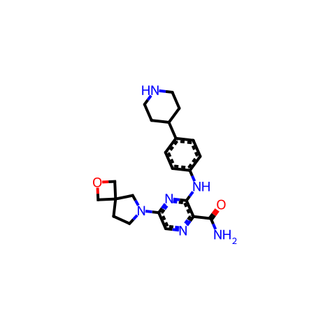 NC(=O)c1ncc(N2CCC3(COC3)C2)nc1Nc1ccc(C2CCNCC2)cc1